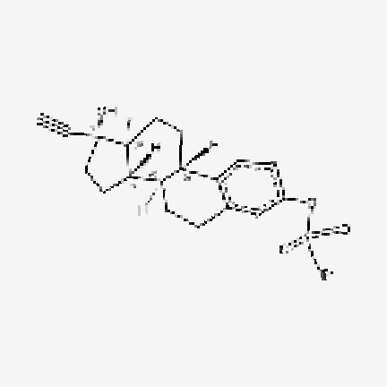 C#C[C@]1(O)CC[C@H]2[C@@H]3CCc4cc(OS(=O)(=O)C(C)C)ccc4[C@H]3CC[C@@]21C